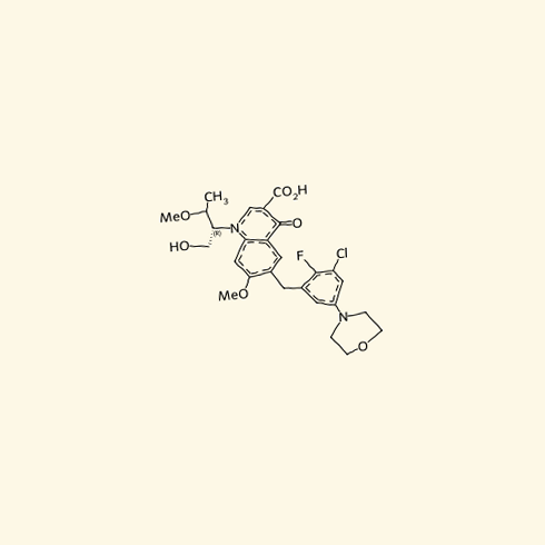 COc1cc2c(cc1Cc1cc(N3CCOCC3)cc(Cl)c1F)c(=O)c(C(=O)O)cn2[C@H](CO)C(C)OC